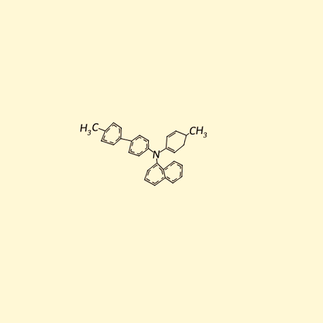 Cc1ccc(-c2ccc(N(C3=CCC(C)C=C3)c3cccc4ccccc34)cc2)cc1